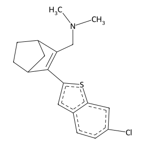 CN(C)CC1=C(c2cc3ccc(Cl)cc3s2)C2CCC1C2